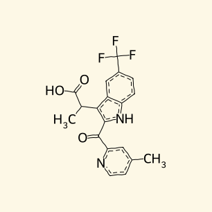 Cc1ccnc(C(=O)c2[nH]c3ccc(C(F)(F)F)cc3c2C(C)C(=O)O)c1